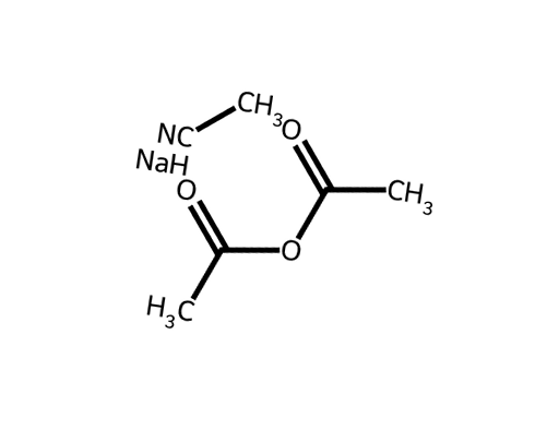 CC#N.CC(=O)OC(C)=O.[NaH]